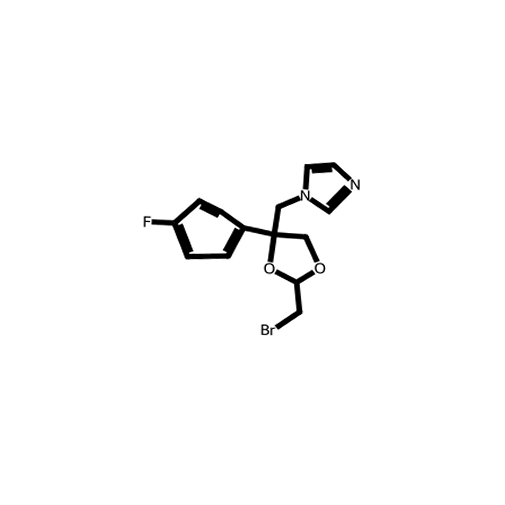 Fc1ccc(C2(Cn3ccnc3)COC(CBr)O2)cc1